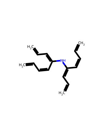 C=C/C=C\C(=C/C=C)NC(/C=C\C=C)=C/C=C